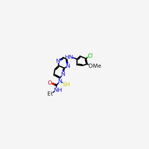 CCNC(=O)N(S)c1ccc2ncc(Nc3ccc(OC)c(Cl)c3)nc2n1